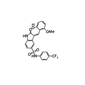 COc1cccc(O)c1C=C1C(=O)Nc2ccc(S(=O)(=O)Nc3ccc(C(F)(F)F)cc3)cc21